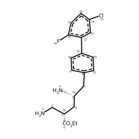 CCOC(=O)[C@H](CN)C[C@H](N)Cc1ccc(-c2cc(Cl)ccc2F)cc1